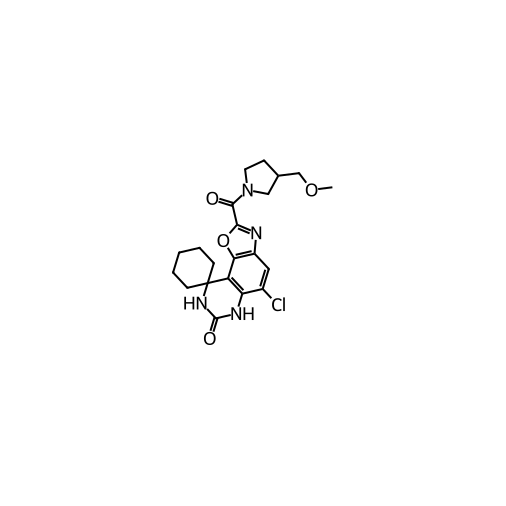 COCC1CCN(C(=O)c2nc3cc(Cl)c4c(c3o2)C2(CCCCC2)NC(=O)N4)C1